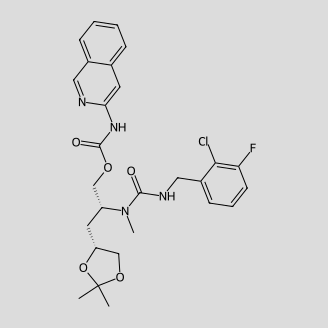 CN(C(=O)NCc1cccc(F)c1Cl)[C@@H](COC(=O)Nc1cc2ccccc2cn1)C[C@@H]1COC(C)(C)O1